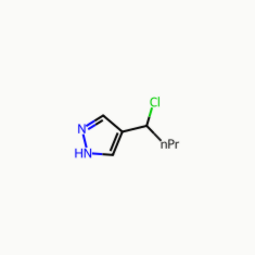 CCCC(Cl)c1cn[nH]c1